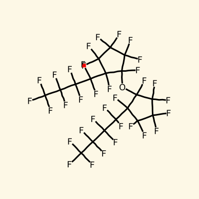 FC(F)(F)C(F)(F)C(F)(F)C(F)(F)C1(F)C(F)(F)C(F)(F)C(F)(F)C1(F)OC1(F)C(F)(F)C(F)(F)C(F)(F)C1(F)C(F)(F)C(F)(F)C(F)(F)C(F)(F)F